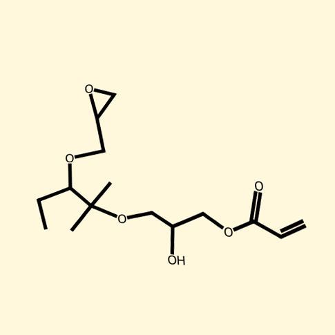 C=CC(=O)OCC(O)COC(C)(C)C(CC)OCC1CO1